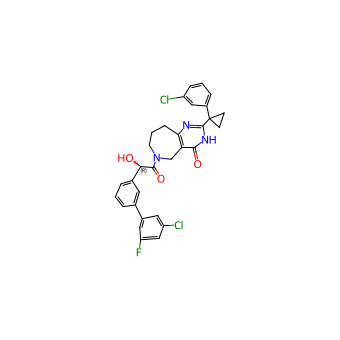 O=C([C@H](O)c1cccc(-c2cc(F)cc(Cl)c2)c1)N1CCCc2nc(C3(c4cccc(Cl)c4)CC3)[nH]c(=O)c2C1